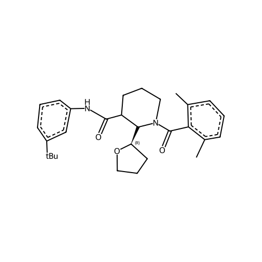 Cc1cccc(C)c1C(=O)N1CCCC(C(=O)Nc2cccc(C(C)(C)C)c2)C1[C@H]1CCCO1